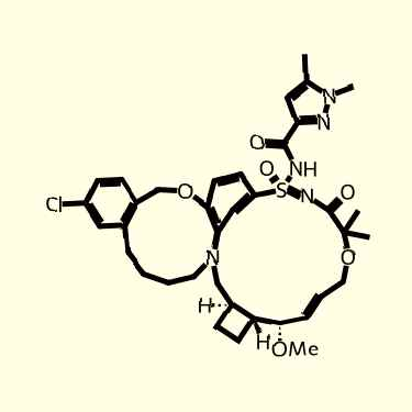 CO[C@H]1/C=C/COC(C)(C)C(=O)N=S(=O)(NC(=O)c2cc(C)n(C)n2)c2ccc3c(c2)N(CCCCc2cc(Cl)ccc2CO3)C[C@@H]2CC[C@H]21